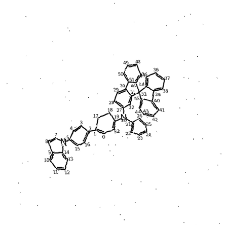 C1=C(c2ccc(-n3ccc4ccccc43)cc2)CCC(N(c2ccccc2)c2ccc3c(c2)C2(c4ccccc4-c4ccccc42)c2ccccc2-3)=C1